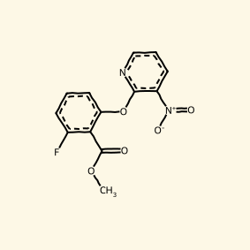 COC(=O)c1c(F)cccc1Oc1ncccc1[N+](=O)[O-]